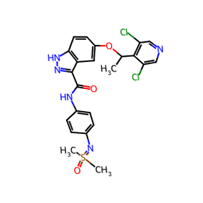 CC(Oc1ccc2[nH]nc(C(=O)Nc3ccc(N=S(C)(C)=O)cc3)c2c1)c1c(Cl)cncc1Cl